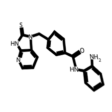 Nc1ccccc1NC(=O)c1ccc(Cn2c(=S)[nH]c3ncccc32)cc1